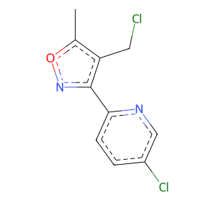 Cc1onc(-c2ccc(Cl)cn2)c1CCl